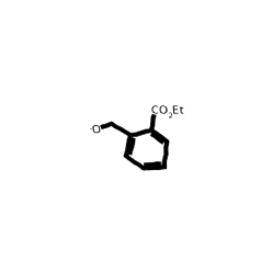 CCOC(=O)c1ccccc1C[O]